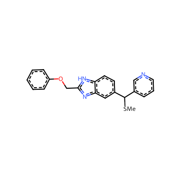 CSC(c1cccnc1)c1ccc2[nH]c(COc3ccccc3)nc2c1